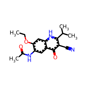 CCOc1cc2[nH]c(C(C)C)c(C#N)c(=O)c2cc1NC(C)=O